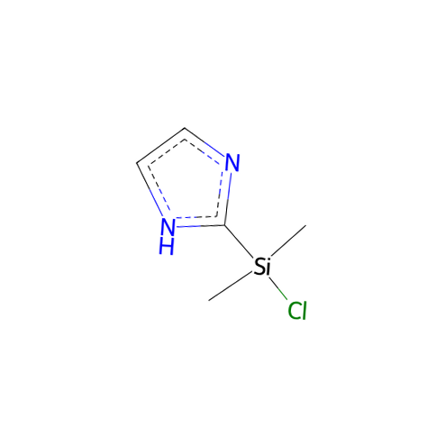 C[Si](C)(Cl)c1ncc[nH]1